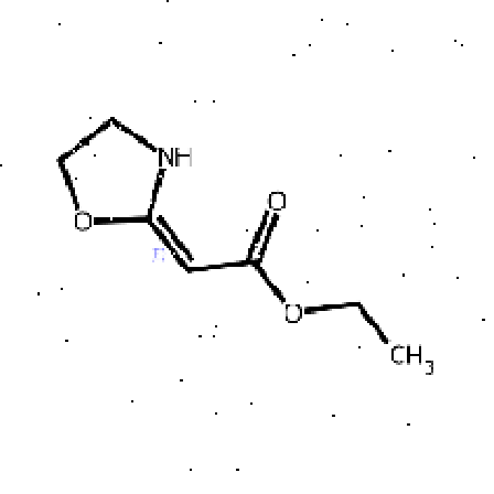 CCOC(=O)/C=C1\NCCO1